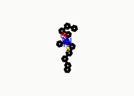 c1ccc(-c2cccc(-c3cccc4oc5c(-c6nc(-c7ccccc7)nc(-c7cccc8c7sc7cc(-c9cccc(-c%10ccc%11ccccc%11c%10)c9)ccc78)n6)cccc5c34)c2)cc1